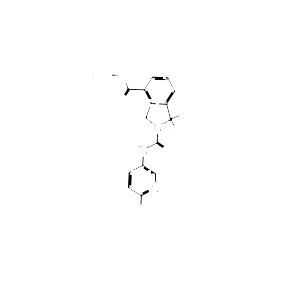 COC(=O)c1cccc2c1CN(C(=O)Nc1ccc(C)nc1)C2(C)C